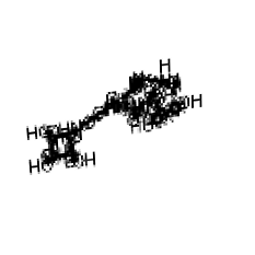 Cc1nnc(NC(=O)CCCc2cn(CCCC[C@H](NC(=O)C[C@H](NC(=O)C[C@H](NC(=O)CCC(C)(c3ccc(O)cc3)c3ccc(O)cc3)C(=O)O)C(=O)O)C(=O)NCCOCCOCCNC(=O)CN3CCN(CC(=O)O)CCN(CC(=O)O)CCN(CC(=O)O)CC3)nn2)s1